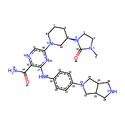 CN1CCN([C@@H]2CCCN(c3cnc(C(N)=O)c(Nc4ccc(N5CC6CNCC6C5)cc4)n3)C2)C1=O